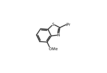 COc1cccc2sc(C(C)C)nc12